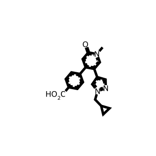 Cn1cc(-c2cnn(CC3CC3)c2)c(-c2ccc(C(=O)O)cc2)cc1=O